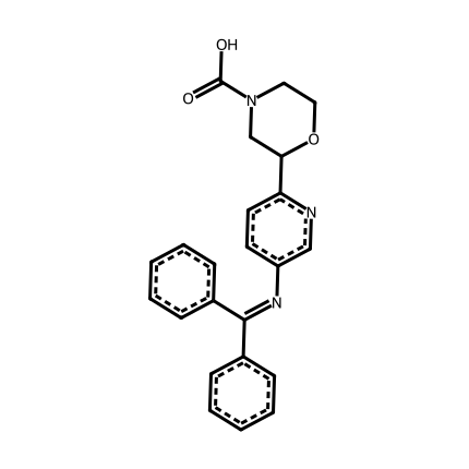 O=C(O)N1CCOC(c2ccc(N=C(c3ccccc3)c3ccccc3)cn2)C1